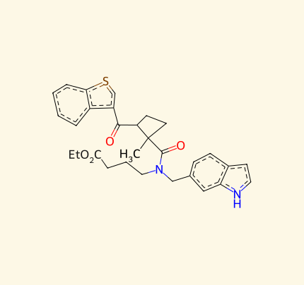 CCOC(=O)CCCN(Cc1ccc2cc[nH]c2c1)C(=O)C1(C)CCC1C(=O)c1csc2ccccc12